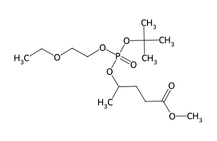 CCOCCOP(=O)(OC(C)CCC(=O)OC)OC(C)(C)C